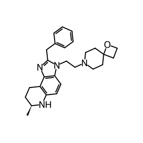 C[C@H]1CCc2c(ccc3c2nc(Cc2ccccc2)n3CCN2CCC3(CCO3)CC2)N1